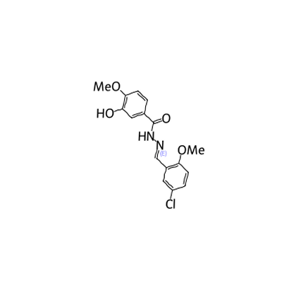 COc1ccc(C(=O)N/N=C/c2cc(Cl)ccc2OC)cc1O